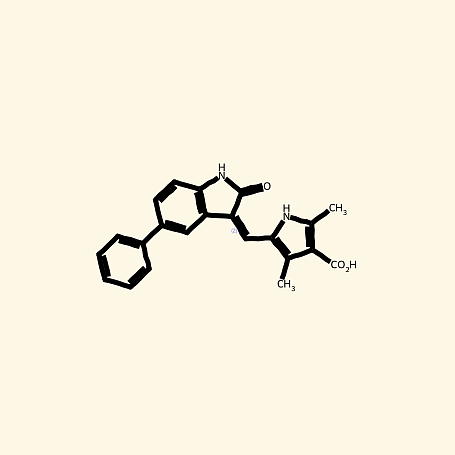 Cc1[nH]c(/C=C2\C(=O)Nc3ccc(-c4ccccc4)cc32)c(C)c1C(=O)O